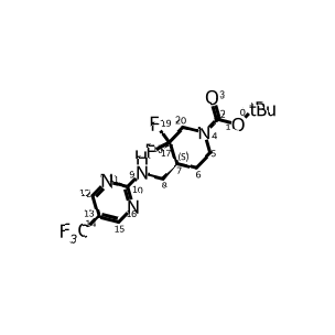 CC(C)(C)OC(=O)N1CC[C@@H](CNc2ncc(C(F)(F)F)cn2)C(F)(F)C1